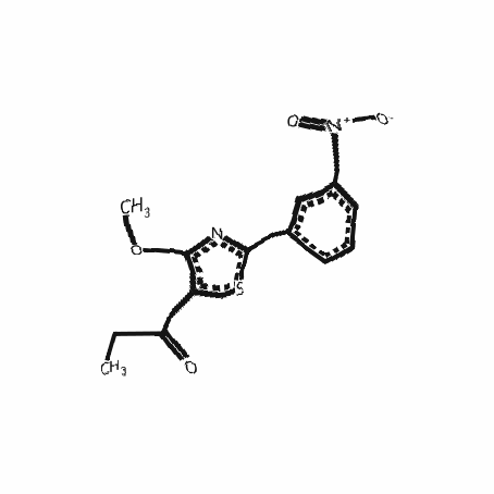 CCC(=O)c1sc(-c2cccc([N+](=O)[O-])c2)nc1OC